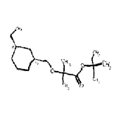 CC(C)(C)OC(=O)C(C)(C)OC[C@H]1CCC[C@@H](CO)C1